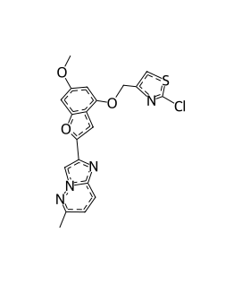 COc1cc(OCc2csc(Cl)n2)c2cc(-c3cn4nc(C)ccc4n3)oc2c1